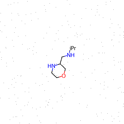 CC(C)NCC1COCCN1